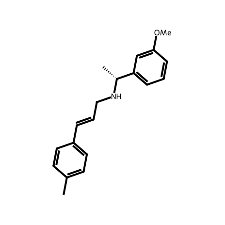 COc1cccc([C@@H](C)NC/C=C/c2ccc(C)cc2)c1